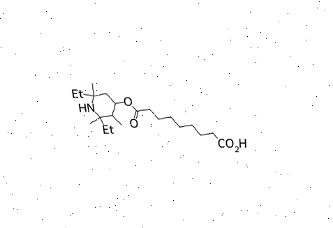 CCC1(C)CC(OC(=O)CCCCCCCC(=O)O)C(C)C(C)(CC)N1